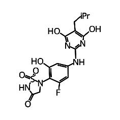 CC(C)Cc1c(O)nc(Nc2cc(O)c(N3CC(=O)NS3(=O)=O)c(F)c2)nc1O